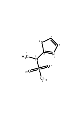 CN(c1nccs1)S(C)(=O)=O